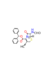 C#CC1=C(C(=O)OC(c2ccccc2)c2ccccc2)N2C(=O)C(NC=O)[C@@H]2SC1